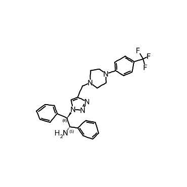 N[C@@H](c1ccccc1)[C@@H](c1ccccc1)n1cc(CN2CCN(c3ccc(C(F)(F)F)cc3)CC2)nn1